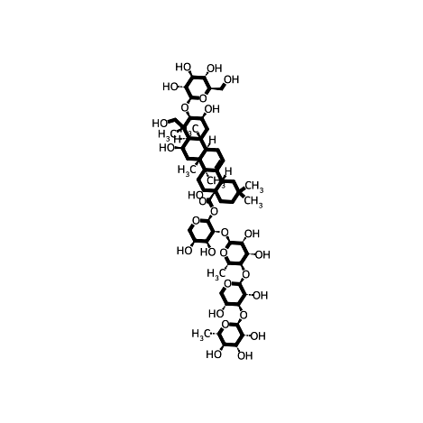 C[C@@H]1O[C@@H](O[C@@H]2[C@@H](O)[C@H](O[C@@H]3[C@@H](O)[C@@H](O)[C@H](O[C@H]4[C@H](OC(=O)[C@]56CCC(C)(C)C[C@H]5C5=CC[C@@H]7[C@@]8(C)C[C@H](O)[C@H](O[C@@H]9O[C@H](CO)[C@@H](O)[C@H](O)[C@H]9O)[C@@](C)(CO)[C@@H]8[C@H](O)C[C@@]7(C)[C@]5(C)C[C@H]6O)OC[C@H](O)[C@@H]4O)O[C@H]3C)OC[C@H]2O)[C@H](O)[C@H](O)[C@H]1O